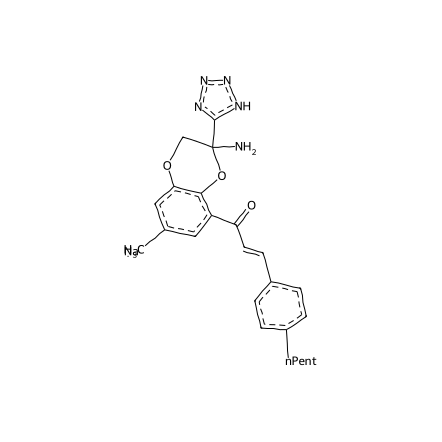 CCCCCc1ccc(C=CC(=O)c2cc(C)cc3c2OC(N)(c2nnn[nH]2)CO3)cc1.[Na]